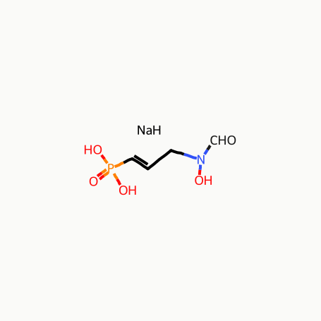 O=CN(O)CC=CP(=O)(O)O.[NaH]